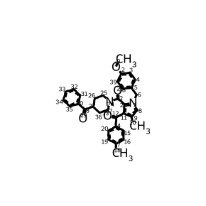 COc1ccc(Cn2cc(C)c(C(=O)c3ccc(C)cc3)c2C(=O)N2CCC(C(=O)c3ccccc3)CC2)cc1